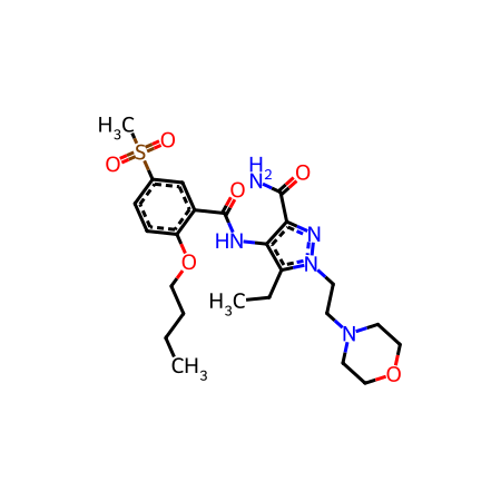 CCCCOc1ccc(S(C)(=O)=O)cc1C(=O)Nc1c(C(N)=O)nn(CCN2CCOCC2)c1CC